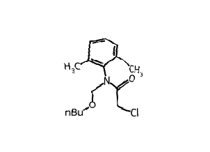 CCCCOCN(C(=O)CCl)c1c(C)cccc1C